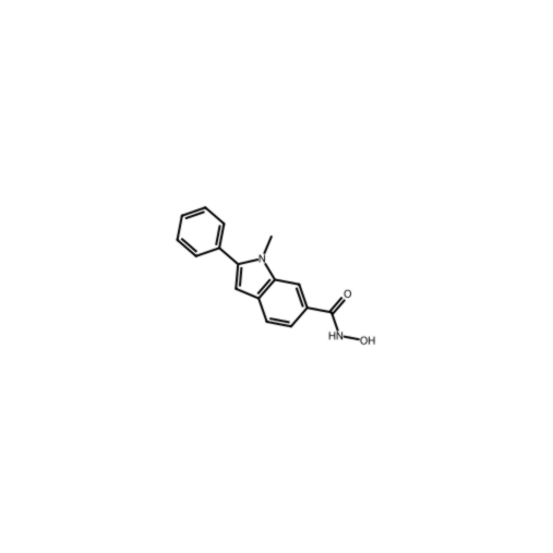 Cn1c(-c2ccccc2)cc2ccc(C(=O)NO)cc21